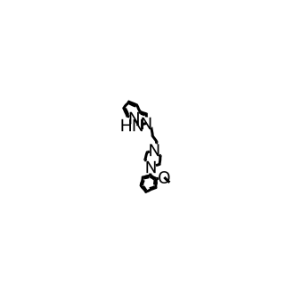 COc1ccccc1N1CCN(CCCN2C=C3C=CC=CN3N2)CC1